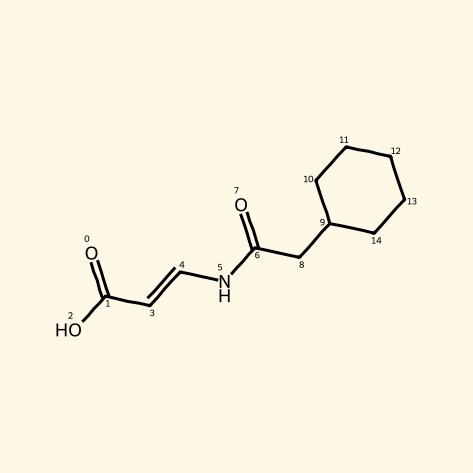 O=C(O)C=CNC(=O)CC1CCCCC1